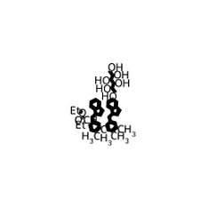 CCOC(C)OCC.Cc1ccc(CC2C=Cc3ccccc32)cc1C.Cc1ccc(CC2C=Cc3ccccc32)cc1C.OC[C@@H](O)[C@@H](O)[C@H](O)[C@@H](O)CO